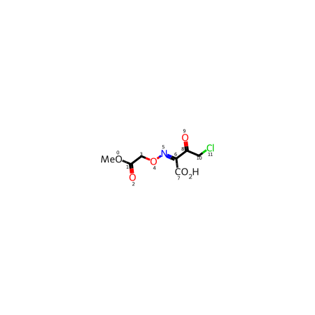 COC(=O)CO/N=C(\C(=O)O)C(=O)CCl